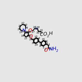 NC(=O)Cc1ccc(-c2ccc(CO[C@@H]3CC[C@H](N4CCCCCC4)[C@H]3OC/C=C\CCC(=O)O)cc2)cc1